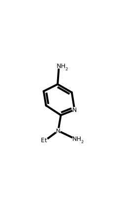 CCN(N)c1ccc(N)cn1